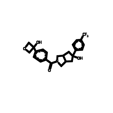 O=C(c1ccc(C2(O)COC2)cc1)N1CC2CC(O)(c3ccc(C(F)(F)F)cc3)CC2C1